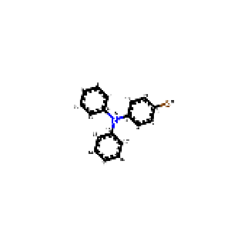 [S]c1ccc(N(c2ccccc2)c2ccccc2)cc1